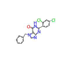 O=c1[nH]c(-c2ccc(Cl)cc2Cl)nc2ncn(Cc3ccccc3)c12